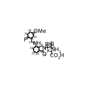 BC(CCC(=O)O)(C(N)=O)N1Cc2c(NCc3cc(OC)ccc3F)cccc2C1=O